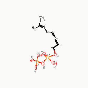 CC(C)=CCC=C=CCOP(=O)(O)OP(=O)(O)O